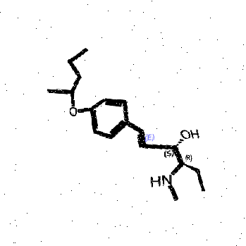 CCCC(C)Oc1ccc(/C=C/[C@H](O)[C@@H](CC)NC)cc1